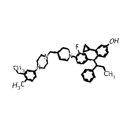 CCc1cc(N2CCN(CC3CCN(c4ccc(C(c5ccc(O)cc5C5CC5)C(CC)c5ccccc5)cc4F)CC3)CC2)ccc1C